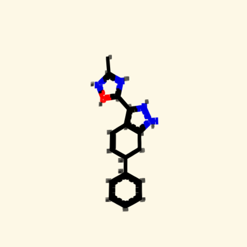 Cc1noc(-c2n[nH]c3c2C=CC(c2ccccc2)C3)n1